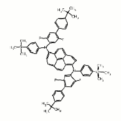 CC(C)(C)c1ccc(-c2cc(F)c(N(c3ccc([Si](C)(C)C)cc3)c3ccc4ccc5c(N(c6ccc([Si](C)(C)C)cc6)c6cc(F)c(-c7ccc(C(C)(C)C)cc7)cc6F)ccc6ccc3c4c65)cc2F)cc1